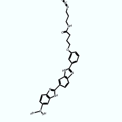 CCCN(CCC)c1ccc2nc(-c3ccc4nc(-c5cccc(OCCCC(=O)NCCCN=[N+]=[N-])c5)[nH]c4c3)[nH]c2c1